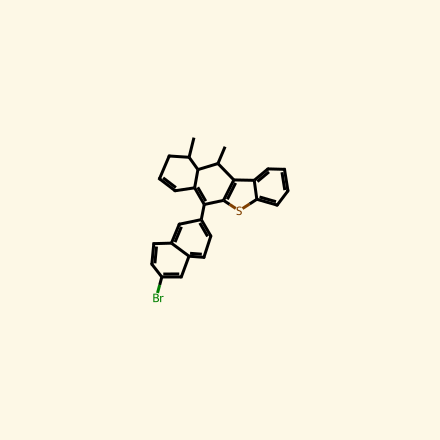 CC1CC=CC2=C(c3ccc4cc(Br)ccc4c3)c3sc4ccccc4c3C(C)C21